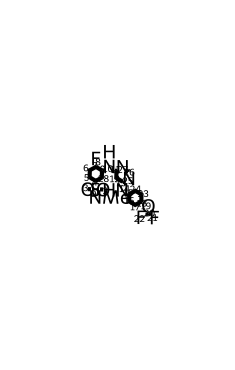 CNS(=O)(=O)c1ccc(F)c(Nc2cc(Nc3ccc(OC(F)F)cc3)ncn2)c1